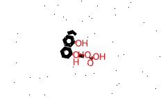 C=C.C=CC.O=C(O)O.Oc1ccccc1.Oc1ccccc1